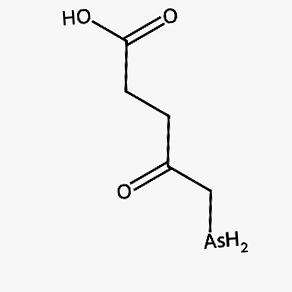 O=C(O)CCC(=O)C[AsH2]